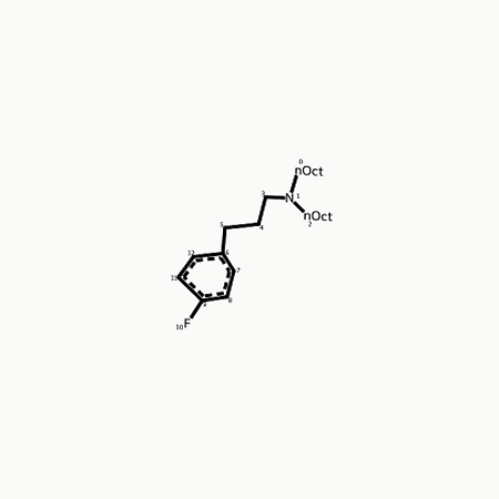 CCCCCCCCN(CCCCCCCC)CCCc1ccc(F)cc1